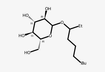 CCC(C)CCCC(CC)OC1O[C@H](CO)[C@@H](O)[C@H](O)[C@H]1O